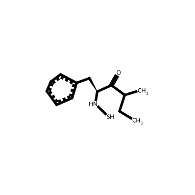 CCC(C)C(=O)[C@H](Cc1ccccc1)NS